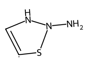 NN1NC=[C]S1